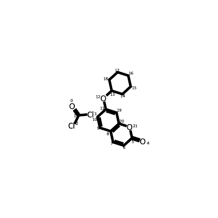 O=C(Cl)Cl.O=c1ccc2ccc(OC3CCCCC3)cc2o1